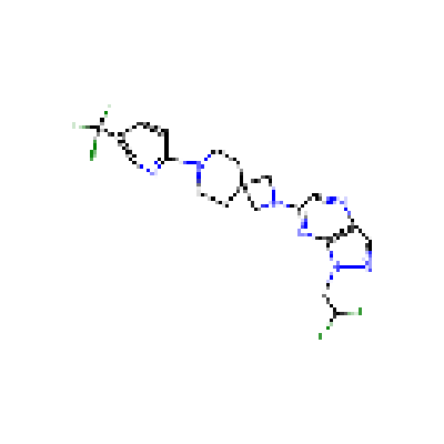 FC(F)Cn1ncc2ncc(N3CC4(CCN(c5ccc(C(F)(F)F)cn5)CC4)C3)nc21